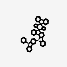 c1ccc(-n2c3ccccc3c3cc(-n4c5ccccc5c5ccc6c(c54)-c4ccccc4C64c5ccccc5C5(c6ccccc6-c6ccccc65)c5ccccc54)ccc32)cc1